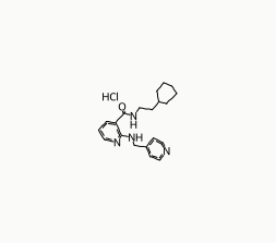 Cl.O=C(NCCC1CCCCC1)c1cccnc1NCc1ccncc1